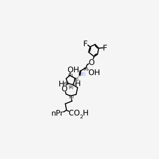 CCCC(CC[C@@H]1CC[C@@H]2[C@@H](/C=C/[C@@H](O)COc3cc(F)cc(F)c3)[C@H](O)C[C@@H]2OC1)C(=O)O